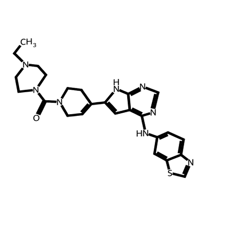 CCN1CCN(C(=O)N2CC=C(c3cc4c(Nc5ccc6ncsc6c5)ncnc4[nH]3)CC2)CC1